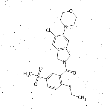 CCSc1ccc(S(C)(=O)=O)cc1C(=O)N1Cc2cc(Cl)c(N3CCOCC3)cc2C1